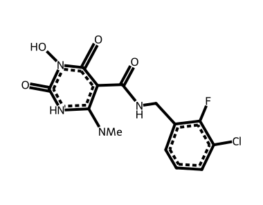 CNc1[nH]c(=O)n(O)c(=O)c1C(=O)NCc1cccc(Cl)c1F